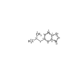 CC(C)Cc1cnc2scnc2c1